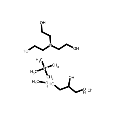 CO.C[N+](C)(C)C.OCC(O)CO.OCCN(CCO)CCO.[Cl-]